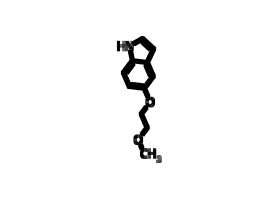 COCCOc1ccc2[nH]ccc2c1